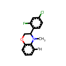 [2H]c1cccc2c1N(C)C(c1ccc(Cl)cc1F)CO2